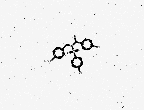 CCC(c1ccc(Cl)cc1)N(Cc1ccc(C(=O)O)cc1)S(=O)(=O)c1ccc(Cl)cc1